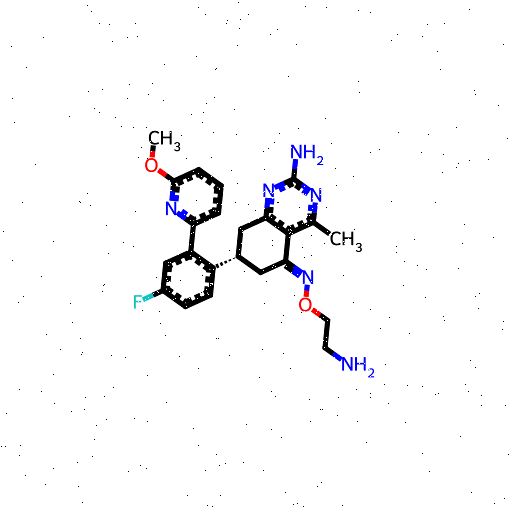 COc1cccc(-c2cc(F)ccc2[C@H]2CC(=NOCCN)c3c(C)nc(N)nc3C2)n1